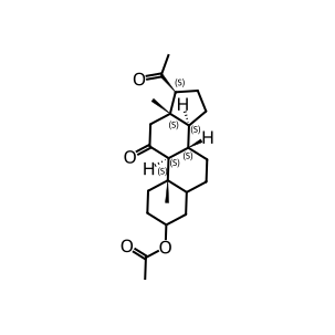 CC(=O)OC1CC[C@@]2(C)C(CC[C@H]3[C@@H]4CC[C@H](C(C)=O)[C@@]4(C)CC(=O)[C@@H]32)C1